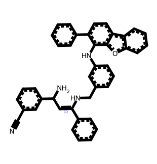 N#Cc1cccc(C(N)/C=C(\NCc2cccc(Nc3c(-c4ccccc4)ccc4c3oc3ccccc34)c2)c2ccccc2)c1